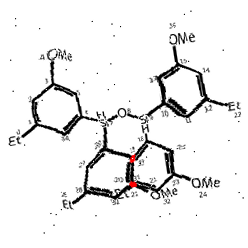 CCc1cc(OC)cc([SiH](O[SiH](c2cc(CC)cc(OC)c2)c2cc(CC)cc(OC)c2)c2cc(CC)cc(OC)c2)c1